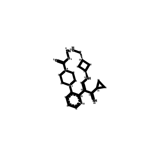 CC(C)(C)OC(=O)N1CCN(c2cccnc2/C(=C/N[C@H]2C[C@H](CO)C2)C(=N)C2CC2)CC1